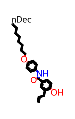 C=CCc1cc(C(=O)Nc2ccc(OCCCCCCCCCCCCCCCCCC)cc2)ccc1O